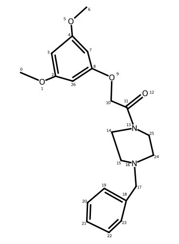 COc1cc(OC)cc(OCC(=O)N2CCN(Cc3ccccc3)CC2)c1